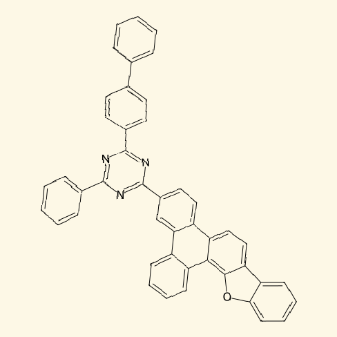 c1ccc(-c2ccc(-c3nc(-c4ccccc4)nc(-c4ccc5c(c4)c4ccccc4c4c5ccc5c6ccccc6oc54)n3)cc2)cc1